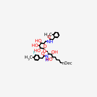 CCCCCCCCCCCCCC[C@@H](O)[C@@H](O)[C@H](CO[C@H]1OC(CNC(=O)Cc2ccccc2C)[C@H](O)C(O)[C@@H]1O)NC(=O)Cc1ccc(C)c(F)c1